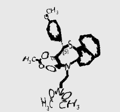 COc1ccc([C@@H]2Sc3c(ccc4ccccc34)N(CCN(OC)OC)C(=O)[C@@H]2OC(C)=O)cc1